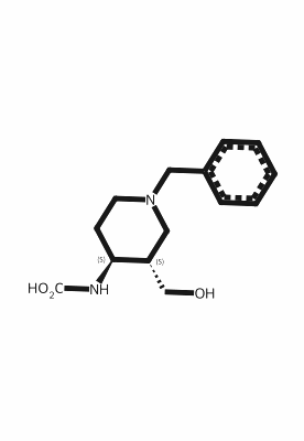 O=C(O)N[C@H]1CCN(Cc2ccccc2)C[C@@H]1CO